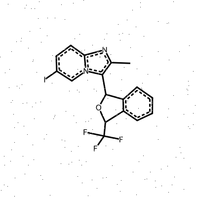 Cc1nc2ccc(I)cn2c1C1OC(C(F)(F)F)c2ccccc21